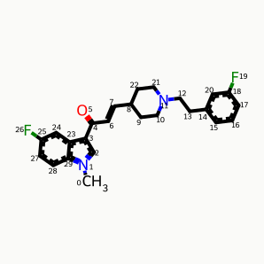 Cn1cc(C(=O)C=CC2CCN(CCc3cccc(F)c3)CC2)c2cc(F)ccc21